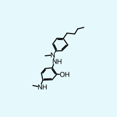 CCCCc1ccc(N(C)Nc2ccc(NC)cc2O)cc1